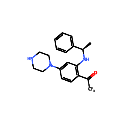 C[C@@H](Nc1cc(N2CCNCC2)ccc1C(=O)C(F)(F)F)c1ccccc1